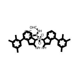 CCCC1=Cc2c(-c3cc(C)cc(C)c3C)cccc2[CH]1[Hf]([Cl])([Cl])([B](NC=O)NC=O)[CH]1C(CCC)=Cc2c(-c3cc(C)cc(C)c3C)cccc21